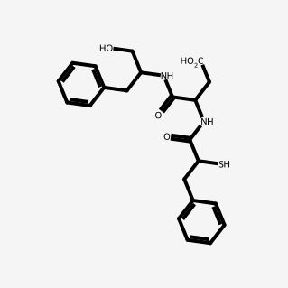 O=C(O)CC(NC(=O)C(S)Cc1ccccc1)C(=O)NC(CO)Cc1ccccc1